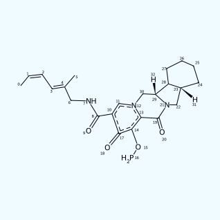 C/C=C\C=C(/C)CNC(=O)c1cn2c(c(OP)c1=O)C(=O)N1C[C@H]3CCCCC3[C@H]1C2